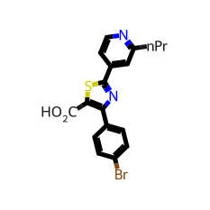 CCCc1cc(-c2nc(-c3ccc(Br)cc3)c(C(=O)O)s2)ccn1